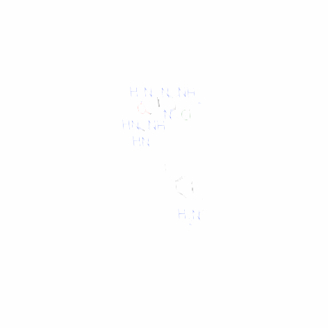 C[C@H](N)Cc1ccc(CCCCNC(=N)NC(=O)c2nc(Cl)c(N)nc2N)cc1